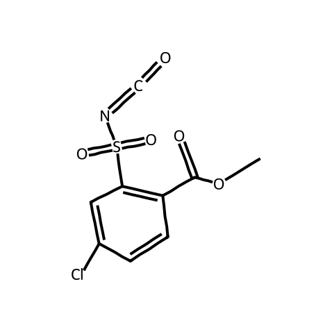 COC(=O)c1ccc(Cl)cc1S(=O)(=O)N=C=O